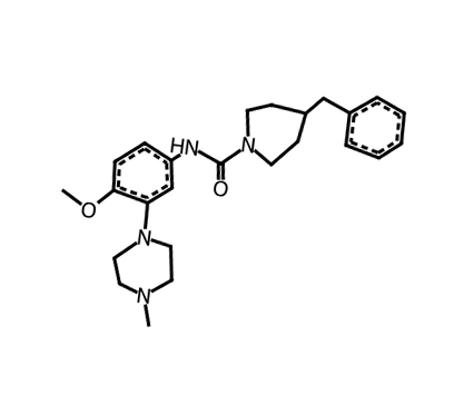 COc1ccc(NC(=O)N2CCC(Cc3ccccc3)CC2)cc1N1CCN(C)CC1